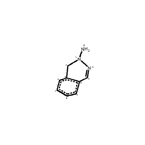 NN1Cc2ccccc2C=N1